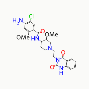 COc1cc(N)c(Cl)cc1C(=O)NC1CCN(CCn2c(=O)[nH]c3ccccc3c2=O)CC1OC